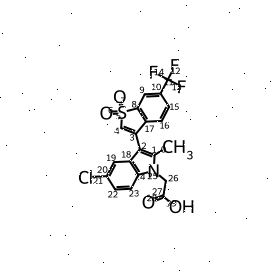 Cc1c(C2=CS(=O)(=O)c3cc(C(F)(F)F)ccc32)c2cc(Cl)ccc2n1CC(=O)O